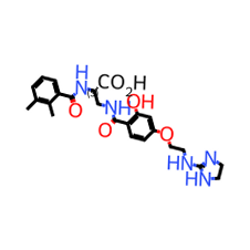 Cc1cccc(C(=O)N[C@@H](CNC(=O)c2ccc(OCCNC3=NCCN3)cc2O)C(=O)O)c1C